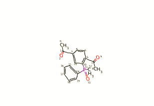 CC(=O)c1ccc(C(C)=O)c(P(C)(=O)c2ccccc2)c1